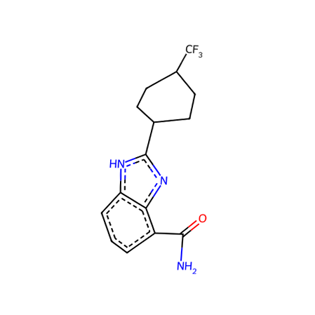 NC(=O)c1cccc2[nH]c(C3CCC(C(F)(F)F)CC3)nc12